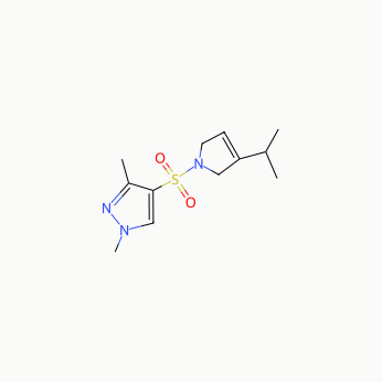 Cc1nn(C)cc1S(=O)(=O)N1CC=C(C(C)C)C1